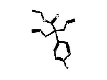 C=CCC(CC=C)(C(=O)OCC)c1ccc(Br)cc1